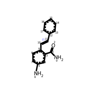 NC(=O)c1cc(N)ccc1/C=C/c1ccccc1